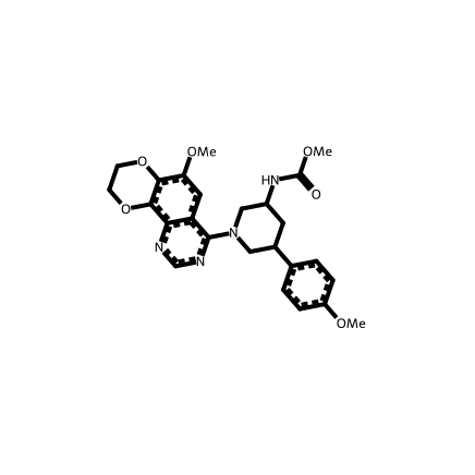 COC(=O)NC1CC(c2ccc(OC)cc2)CN(c2ncnc3c4c(c(OC)cc23)OCCO4)C1